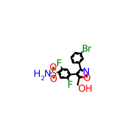 NS(=O)(=O)c1cc(F)c(-c2c(-c3cccc(Br)c3)noc2CO)cc1F